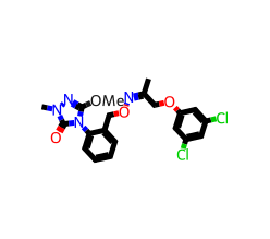 COc1nn(C)c(=O)n1-c1ccccc1CON=C(C)COc1cc(Cl)cc(Cl)c1